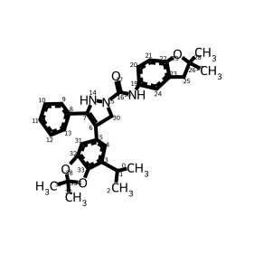 CC(C)c1cc(C2=C(c3ccccc3)NN(C(=O)Nc3ccc4c(c3)CC(C)(C)O4)C2)cc2c1OC(C)(C)O2